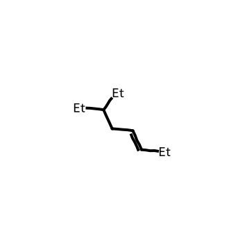 [CH2]CC(CC)C/C=C/CC